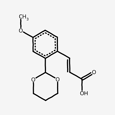 COc1ccc(C=CC(=O)O)c(C2OCCCO2)c1